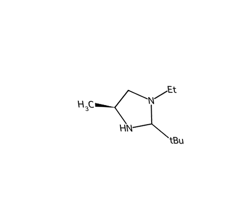 CCN1C[C@H](C)NC1C(C)(C)C